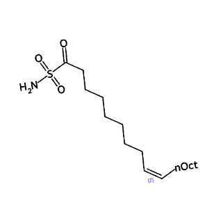 CCCCCCCC/C=C\CCCCCCCC(=O)S(N)(=O)=O